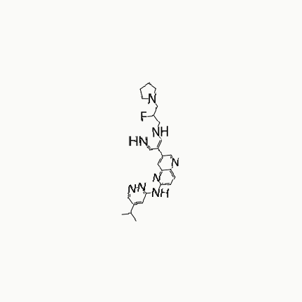 CC(C)c1cnnc(Nc2ccc3ncc(/C(C=N)=C/NCC(F)CN4CCCC4)cc3n2)c1